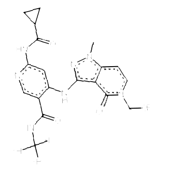 [2H]C([2H])([2H])NC(=O)c1cnc(NC(=O)C2CC2)cc1Nc1nn(C)c2ccn(CC(F)(F)F)c(=O)c12